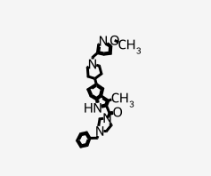 COc1ccc(CN2CCC(c3ccc4[nH]c(C(=O)N5CCN(Cc6ccccc6)CC5)c(C)c4c3)CC2)cn1